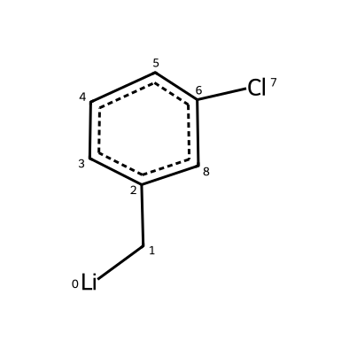 [Li][CH2]c1cccc(Cl)c1